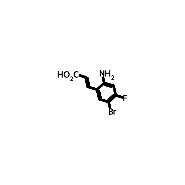 Nc1cc(F)c(Br)cc1/C=C/C(=O)O